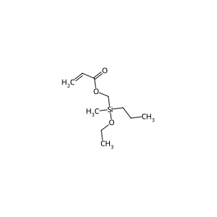 C=CC(=O)OC[Si](C)(CCC)OCC